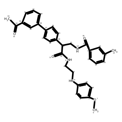 COc1ccc(NCCNC(=O)C(CNC(=O)c2cccc(C)c2)c2ccc(-c3cccc(C(C)=O)c3)cc2)cc1